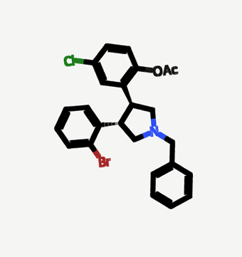 CC(=O)Oc1ccc(Cl)cc1[C@H]1CN(Cc2ccccc2)C[C@@H]1c1ccccc1Br